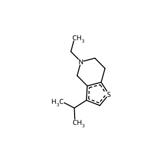 CCN1CCc2scc(C(C)C)c2C1